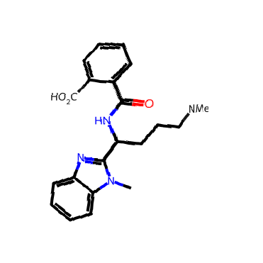 CNCCCC(NC(=O)c1ccccc1C(=O)O)c1nc2ccccc2n1C